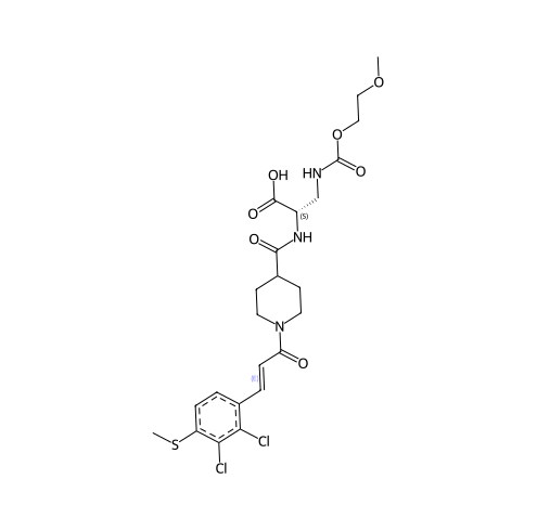 COCCOC(=O)NC[C@H](NC(=O)C1CCN(C(=O)/C=C/c2ccc(SC)c(Cl)c2Cl)CC1)C(=O)O